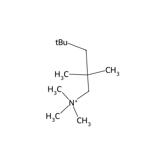 CC(C)(C)CC(C)(C)C[N+](C)(C)C